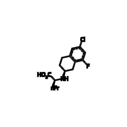 CCC[C@H](N[C@H]1CCc2cc(Cl)cc(F)c2C1)C(=O)O